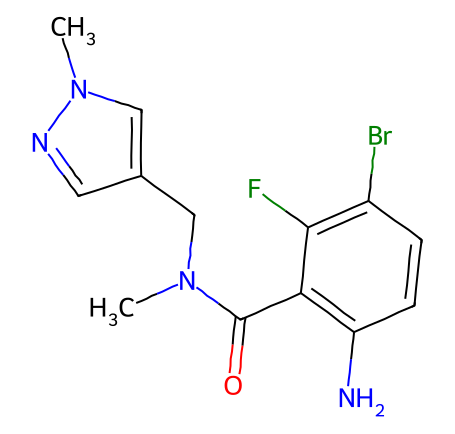 CN(Cc1cnn(C)c1)C(=O)c1c(N)ccc(Br)c1F